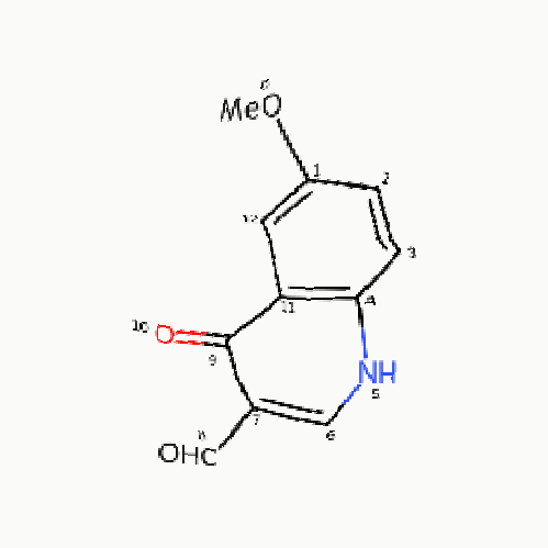 COc1ccc2[nH]cc(C=O)c(=O)c2c1